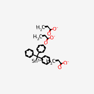 C=CC(=O)[O-].C=CC(=O)[O-].C=CC(=O)[O-].[Sn+3][C](c1ccccc1)(c1ccccc1)c1ccccc1